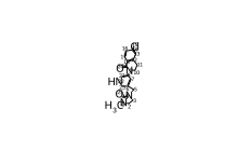 CN1CCN(CC2=CC(N3CCc4cc(Cl)ccc4C3=O)=CNC2)C1=O